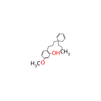 CCCC1(CCCc2ccc(OC)cc2O)C=CC=CC1